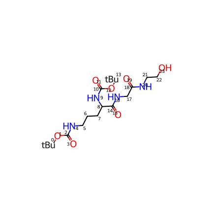 CC(C)(C)OC(=O)NCCCC(NC(=O)OC(C)(C)C)C(=O)NCC(=O)NCCO